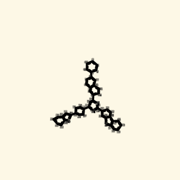 c1ccc(-c2ccc3cc(-c4cc(-c5ccc(-c6cc7ccccc7s6)cc5)nc(-c5ccc6c(c5)sc5ccccc56)n4)ccc3c2)cc1